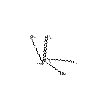 C=CCCCCCCCCCCCCCCC(=CCCCCCCCCC)C(CCCCCCCCCCC=CCCCC)(CCCCCCCCCCCCC=C)C(C)(CCCCCCCCCCCCC=C)CCCCCCCCCCCCCCC=C